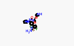 Nc1nc2c(-c3c(Cl)cc4c(N5CC6CCC(C5)N6)nc(=O)n5c4c3OC[C@@H]5COC3CCNC3)ccc(F)c2s1